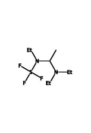 CCN(CC)C(C)N(CC)S(F)(F)F